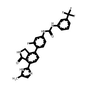 Cc1cnc(-c2ccc(-c3ccc(NC(=O)Nc4cccc(C(F)(F)F)c4)cc3F)c3c2C(=O)NC3)[nH]1